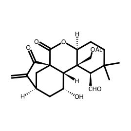 C=C1C(=O)[C@]23C[C@H]1C[C@@H](O)[C@H]2[C@]1(COC(C)=O)[C@H](CCC(C)(C)[C@H]1C=O)OC3=O